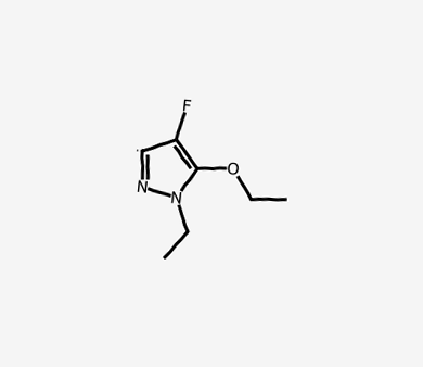 CCOc1c(F)[c]nn1CC